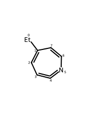 CCC1=CC=C=NC=C1